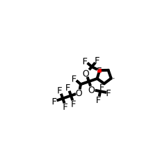 F[C](OC(F)(F)C(F)(F)F)C(OC(F)(F)F)(OC(F)(F)F)C1C[CH]CC1